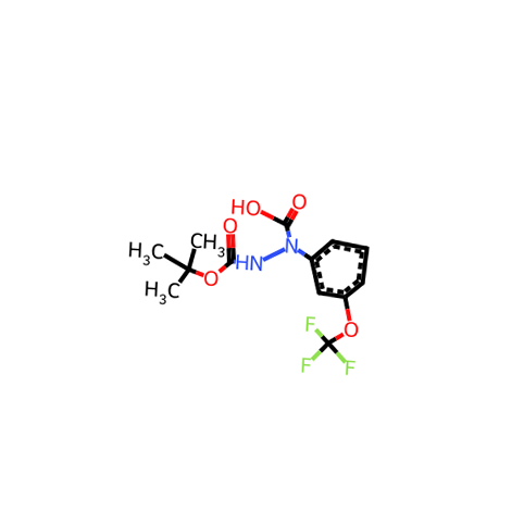 CC(C)(C)OC(=O)NN(C(=O)O)c1cccc(OC(F)(F)F)c1